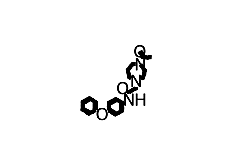 CC(=O)N1CCCN(CC(=O)Nc2ccc(Oc3ccccc3)cc2)CC1